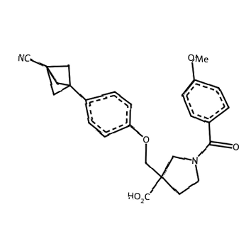 COc1ccc(C(=O)N2CCC(COc3ccc(C45CC(C#N)(C4)C5)cc3)(C(=O)O)C2)cc1